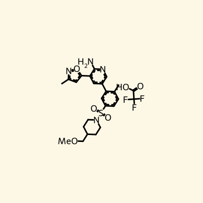 COCC1CCN(S(=O)(=O)c2ccc(C)c(-c3cnc(N)c(-c4cc(C)no4)c3)c2)CC1.O=C(O)C(F)(F)F